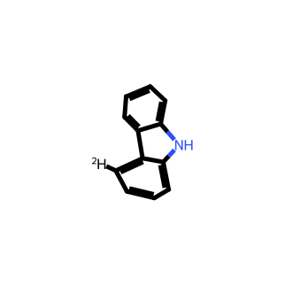 [2H]c1cccc2[nH]c3ccccc3c12